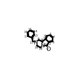 O=C1c2ccccc2C2CN(Cc3ccccc3)CCN12